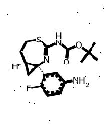 CC(C)(C)OC(=O)NC1=N[C@@]2(c3cc(N)ccc3F)C[C@H]2CCS1